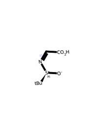 CC(C)(C)[S@+]([O-])/N=C\C(=O)O